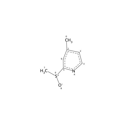 Cc1ccnc([S+](C)[O-])c1